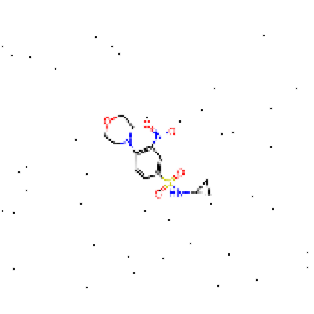 O=[N+]([O-])c1cc(S(=O)(=O)NC2CC2)ccc1N1CCOCC1